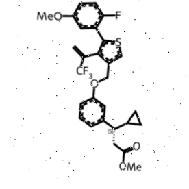 C=C(c1c(COc2cccc([C@@H](CC(=O)OC)C3CC3)c2)csc1-c1cc(OC)ccc1F)C(F)(F)F